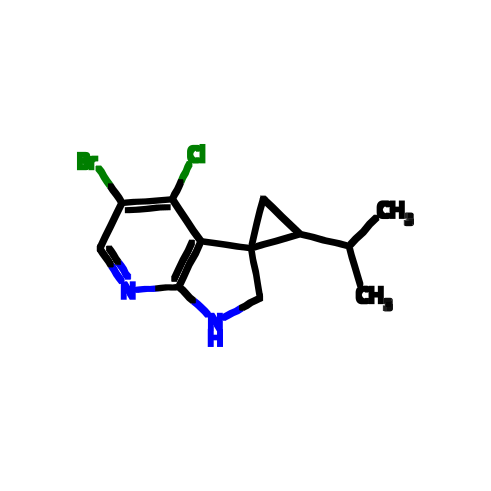 CC(C)C1CC12CNc1ncc(Br)c(Cl)c12